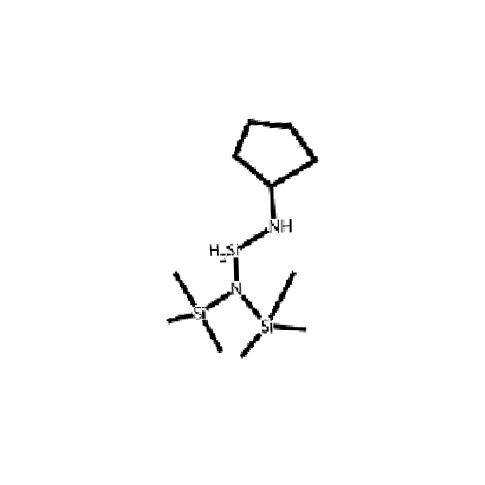 C[Si](C)(C)N([SiH2]NC1CCCC1)[Si](C)(C)C